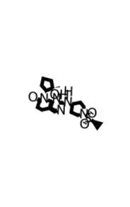 C[C@@]1(O)CCC[C@H]1N1C(=O)CCc2cnc(NC3CCN(S(=O)(=O)C4CC4)CC3)nc21